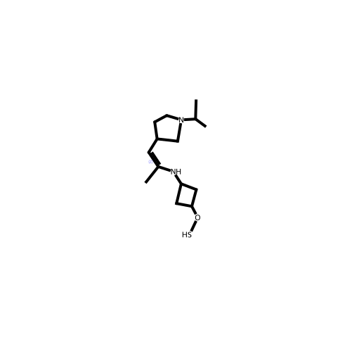 C/C(=C/C1CCN(C(C)C)C1)NC1CC(OS)C1